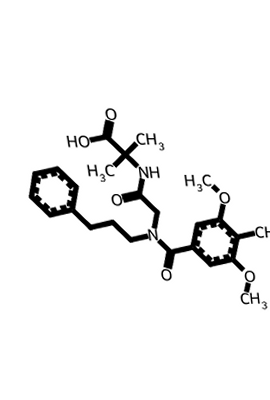 COc1cc(C(=O)N(CCCc2ccccc2)CC(=O)NC(C)(C)C(=O)O)cc(OC)c1C